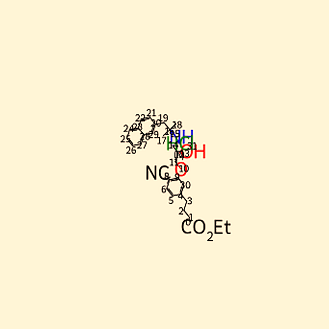 CCOC(=O)CCCc1ccc(C#N)c(OC[C@H](O)CNC(C)(C)Cc2ccc3ccccc3c2)c1.Cl